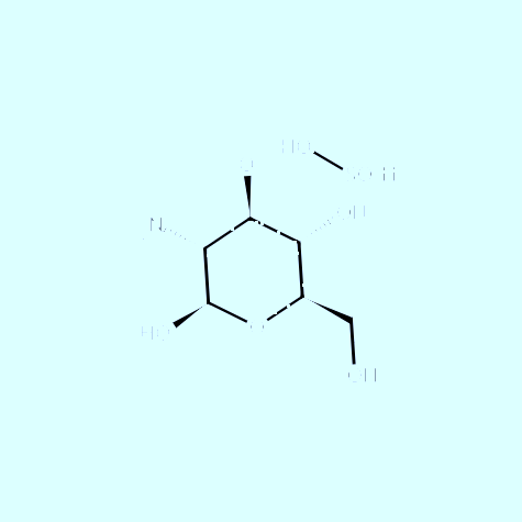 N[C@@H]1[C@@H](O)[C@H](O)[C@@H](CO)O[C@H]1O.O=S(=O)(O)O